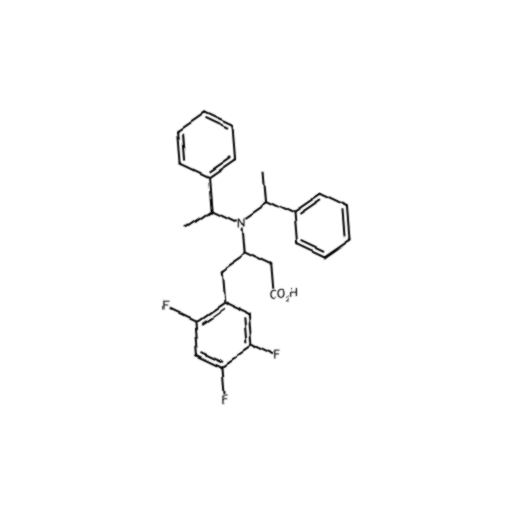 CC(c1ccccc1)N(C(CC(=O)O)Cc1cc(F)c(F)cc1F)C(C)c1ccccc1